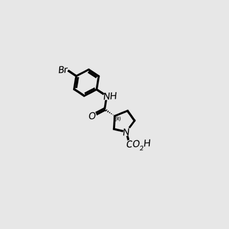 O=C(Nc1ccc(Br)cc1)[C@@H]1CCN(C(=O)O)C1